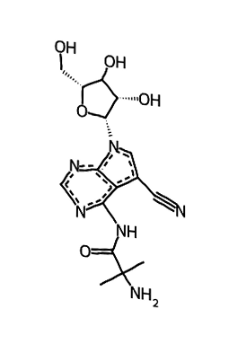 CC(C)(N)C(=O)Nc1ncnc2c1c(C#N)cn2[C@@H]1O[C@H](CO)C(O)[C@@H]1O